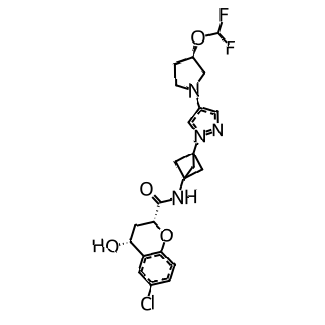 O=C(NC12CC(n3cc(N4CC[C@@H](OC(F)F)C4)cn3)(C1)C2)[C@H]1C[C@@H](O)c2cc(Cl)ccc2O1